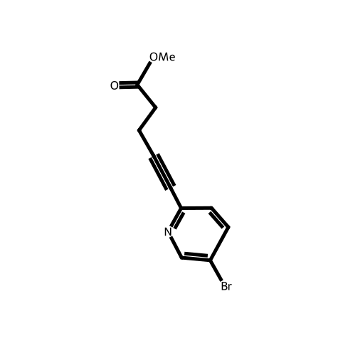 COC(=O)CCC#Cc1ccc(Br)cn1